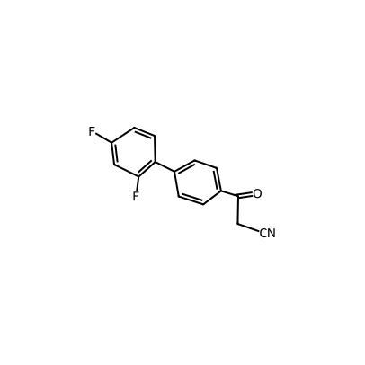 N#CCC(=O)c1ccc(-c2ccc(F)cc2F)cc1